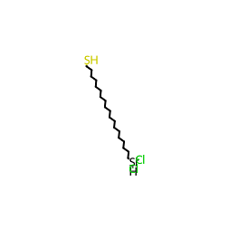 SCCCCCCCCCCCCCCCCCCC[SiH](Cl)Cl